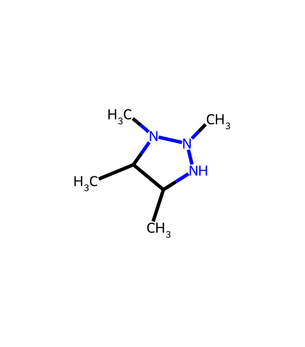 CC1NN(C)N(C)C1C